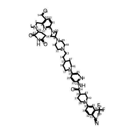 CN(Cc1nc(N2CC(N3CCN(CCC4CCN(c5ccc(NC(=O)C6CCN(c7ccc(C#N)c(C(F)(F)F)c7)CC6)nc5)CC4)CC3)C2)ccc1C=O)C1CCC(=O)NC1=O